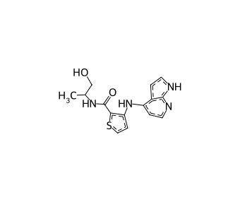 CC(CO)NC(=O)c1sccc1Nc1ccnc2[nH]ccc12